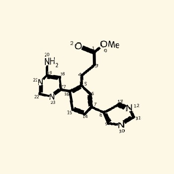 COC(=O)CCc1cc(-c2cncnc2)ccc1-c1cc(N)ncn1